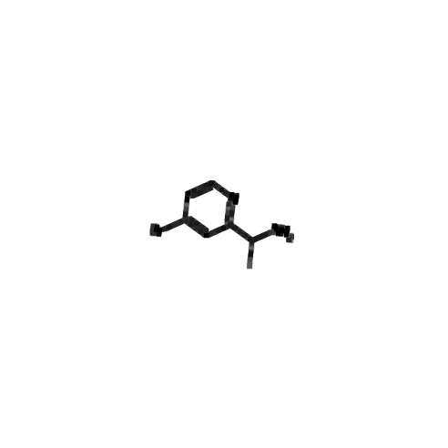 CC(N)c1cc(Br)ccn1